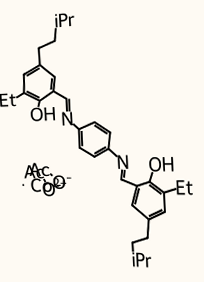 CC(=O)[O-].CC(=O)[O-].CCc1cc(CCC(C)C)cc(C=Nc2ccc(N=Cc3cc(CCC(C)C)cc(CC)c3O)cc2)c1O.[Co+2]